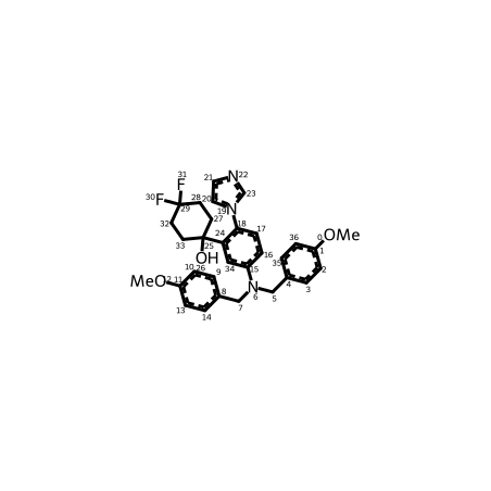 COc1ccc(CN(Cc2ccc(OC)cc2)c2ccc(-n3ccnc3)c(C3(O)CCC(F)(F)CC3)c2)cc1